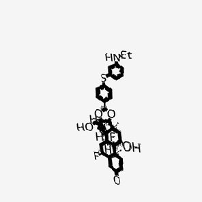 CCNc1cccc(Sc2ccc([C@@H]3O[C@@H]4C[C@H]5[C@@H]6C[C@H](F)C7=CC(=O)C=C[C@]7(C)[C@@]6(F)[C@@H](O)C[C@]5(C)[C@]4(C(=O)CO)O3)cc2)c1